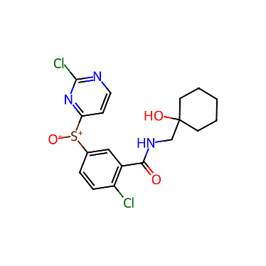 O=C(NCC1(O)CCCCC1)c1cc([S+]([O-])c2ccnc(Cl)n2)ccc1Cl